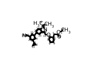 CCOC(=O)Cc1ccccc1OCc1nn(C(C)C)c2ccc(-c3cc(C#N)cc(C4CC4)c3)cc12